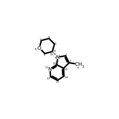 Cc1cn([C@H]2CCCOC2)c2ncccc12